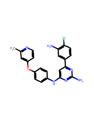 Nc1nc(Nc2ccc(Oc3ccnc(C(F)(F)F)c3)cc2)cc(-c2ccc(Cl)c(N)c2)n1